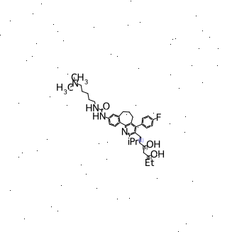 CC[C@H](O)C[C@H](O)/C=C/c1c(C(C)C)nc2c(c1-c1ccc(F)cc1)CCCc1cc(NC(=O)NCCCCCN(C)C)ccc1-2